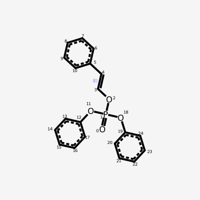 O=P(O/C=C/c1ccccc1)(Oc1ccccc1)Oc1ccccc1